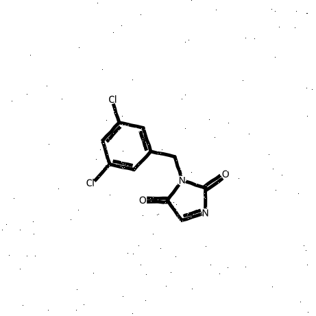 O=C1C=NC(=O)N1Cc1cc(Cl)cc(Cl)c1